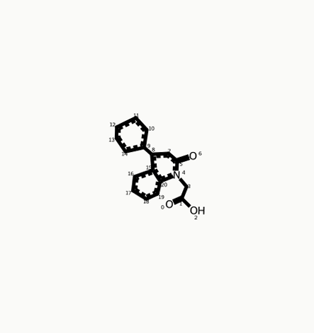 O=C(O)Cn1c(=O)cc(-c2ccccc2)c2ccccc21